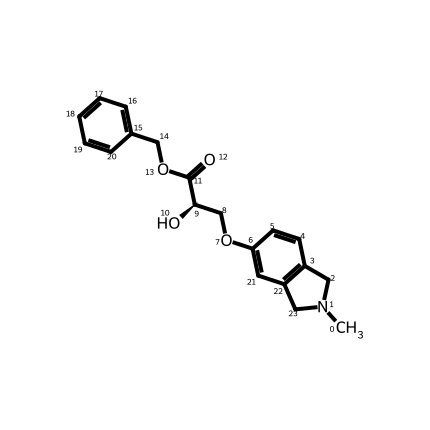 CN1Cc2ccc(OC[C@@H](O)C(=O)OCc3ccccc3)cc2C1